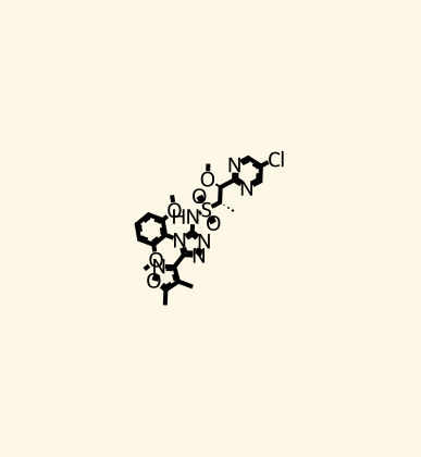 COc1cccc(OC)c1-n1c(NS(=O)(=O)[C@@H](C)[C@H](OC)c2ncc(Cl)cn2)nnc1-c1noc(C)c1C